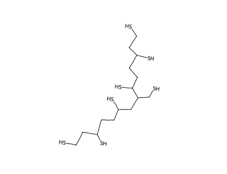 SCCC(S)CCC(S)CC(CS)C(S)CCC(S)CCS